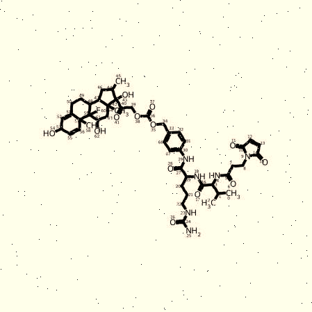 CC(C)C(NC(=O)CCN1C(=O)C=CC1=O)C(=O)NC(CCCNC(N)=O)C(=O)Nc1ccc(COC(=O)OCC(=O)C2(O)C(C)CC3C4CCC5=CC(O)C=CC5(C)C4(F)C(O)CC32C)cc1